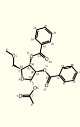 COC[C@@H]1O[C@@H](OC(C)=O)[C@H](OC(=O)c2ccccc2)[C@@H]1OC(=O)c1ccccc1